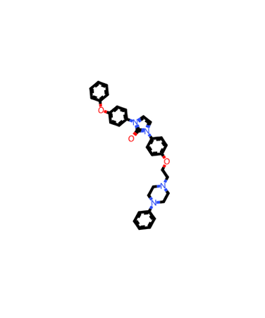 O=c1n(-c2ccc(OCCN3CCN(c4ccccc4)CC3)cc2)ccn1-c1ccc(Oc2ccccc2)cc1